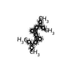 Cc1ccc(N(c2ccc(C)cc2)c2ccc3c4cccc5c6cc7c(cc6n(c3c2)c45)c2cccc3c4ccc(N(c5ccc(C)cc5)c5ccc(C)cc5)cc4n7c32)cc1